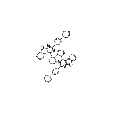 c1ccc(-c2ccc(-c3nc(-c4ccccc4-c4ccccc4-c4nc(-c5ccc(-c6ccccc6)cc5)nc5oc6ccccc6c45)c4c(n3)oc3ccccc34)cc2)cc1